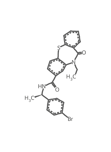 CCN1C(=O)c2ccccc2Sc2ccc(C(=O)N[C@H](C)c3ccc(Br)cc3)cc21